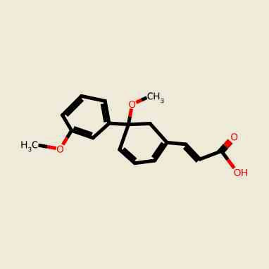 COc1cccc(C2(OC)C=CC=C(/C=C/C(=O)O)C2)c1